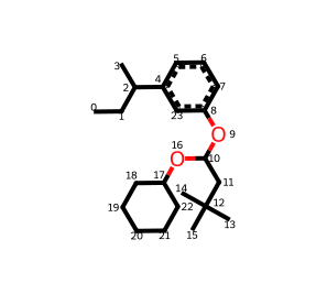 CCC(C)c1cccc(OC(CC(C)(C)C)OC2CCCCC2)c1